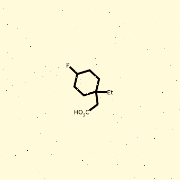 CCC1(CC(=O)O)CCC(F)CC1